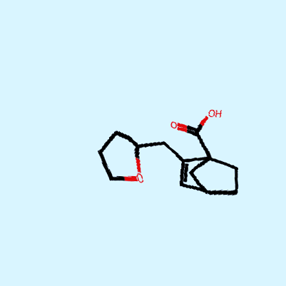 O=C(O)C12CCC(C=C1CC1CCCO1)C2